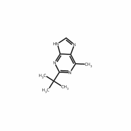 Cc1nc(C(C)(C)C)nc2[nH]cnc12